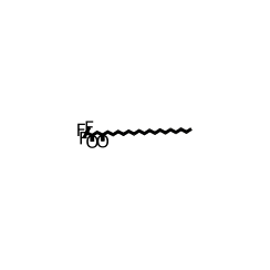 CCCCCCCCCCCCCCCCCC(=O)CC(=O)C(F)(F)F